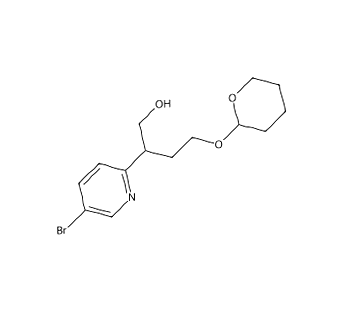 OCC(CCOC1CCCCO1)c1ccc(Br)cn1